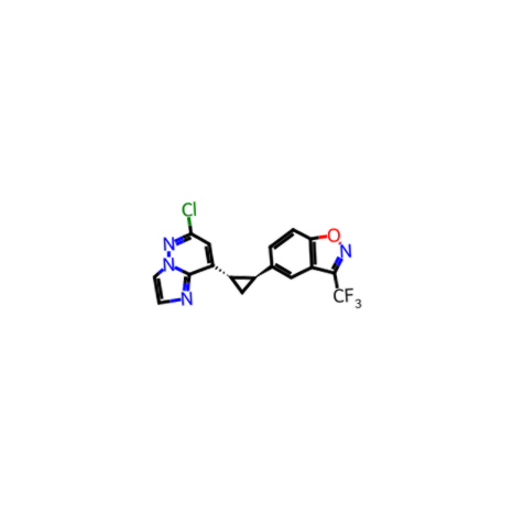 FC(F)(F)c1noc2ccc([C@H]3C[C@@H]3c3cc(Cl)nn4ccnc34)cc12